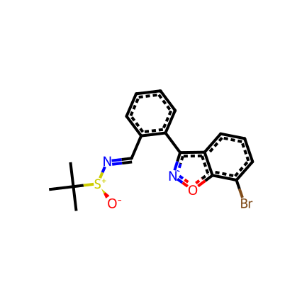 CC(C)(C)[S@+]([O-])/N=C/c1ccccc1-c1noc2c(Br)cccc12